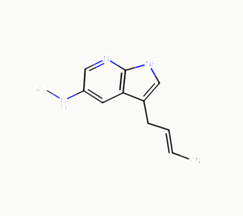 CC(C)Nc1cnc2[nH]cc(CC=CC#N)c2c1